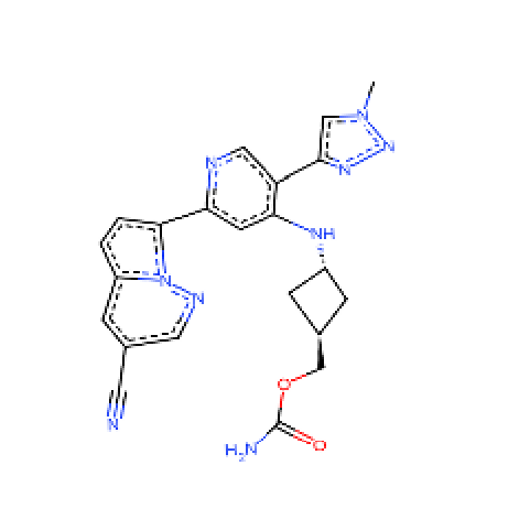 Cn1cc(-c2cnc(-c3ccc4cc(C#N)cnn34)cc2N[C@H]2C[C@H](COC(N)=O)C2)nn1